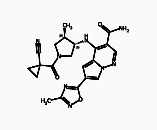 Cc1noc(-c2cc3c(N[C@@H]4CN(C(=O)C5(C#N)CC5)C[C@H]4C)c(C(N)=O)cnn3c2)n1